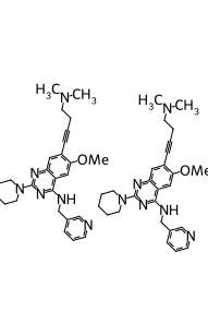 COc1cc2c(NCc3cccnc3)nc(N3CCCCC3)nc2cc1C#CCCN(C)C.COc1cc2c(NCc3cccnc3)nc(N3CCCCC3)nc2cc1C#CCCN(C)C